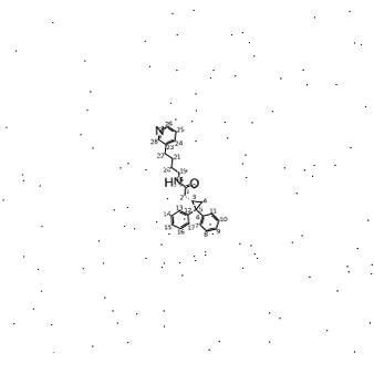 O=C(C[C@@H]1CC1(c1ccccc1)c1ccccc1)NCCCCc1cccnc1